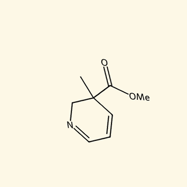 COC(=O)C1(C)C=CC=NC1